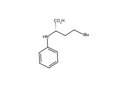 CC(C)(C)CC[C@H](Nc1ccccc1)C(=O)O